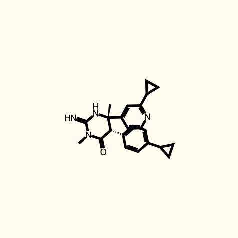 CN1C(=N)N[C@](C)(c2ccnc(C3CC3)c2)[C@H](c2ccc(C3CC3)cc2)C1=O